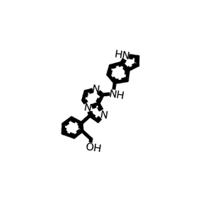 OCc1ccccc1-c1cnc2c(Nc3ccc4[nH]ccc4c3)nccn12